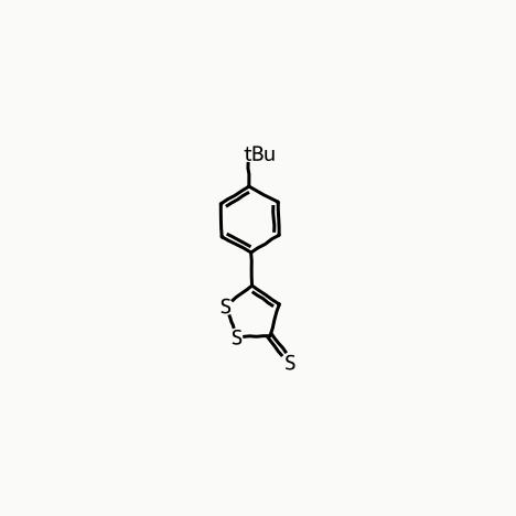 CC(C)(C)c1ccc(-c2cc(=S)ss2)cc1